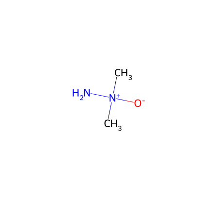 C[N+](C)(N)[O-]